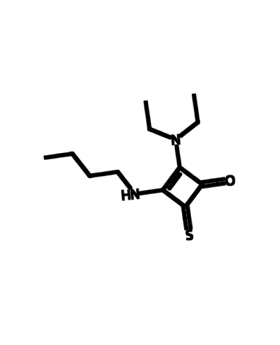 CCCCNc1c(N(CC)CC)c(=O)c1=S